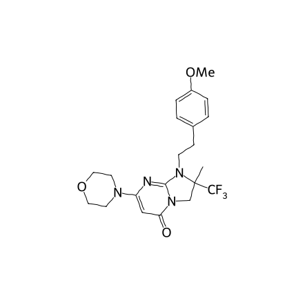 COc1ccc(CCN2c3nc(N4CCOCC4)cc(=O)n3CC2(C)C(F)(F)F)cc1